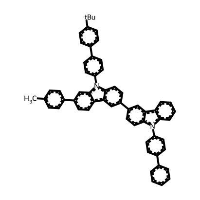 Cc1ccc(-c2ccc3c4cc(-c5ccc6c(c5)c5ccccc5n6-c5ccc(-c6ccccc6)cc5)ccc4n(-c4ccc(-c5ccc(C(C)(C)C)cc5)cc4)c3c2)cc1